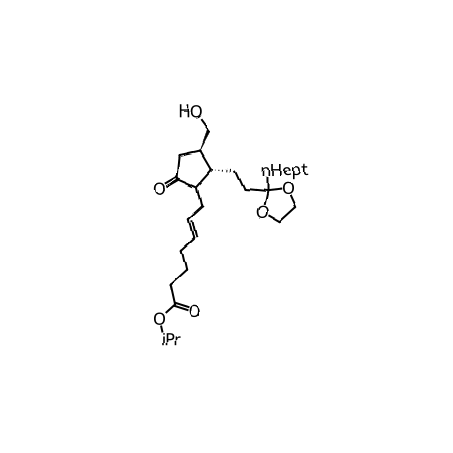 CCCCCCCC1(CC[C@@H]2C(CC=CCCCC(=O)OC(C)C)C(=O)C[C@H]2CO)OCCO1